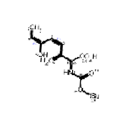 C=C(/C=C\C(O)=C/C)[C@H](NC(=O)OC(C)(C)C)C(=O)O